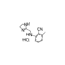 Cc1cccc(NCC2=NCCN2)c1C#N.Cl